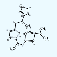 CC(C)c1noc(CC(C)c2ncc(CC(C)c3c[nH]cn3)s2)n1